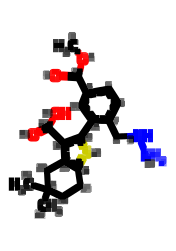 COC(=O)c1ccc(CNN)c(-c2sc3c(c2C(=O)O)CC(C)(C)CC3)c1